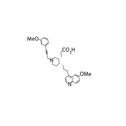 COc1cccc(C#CCN2CC[C@@H](CCCc3ccnc4ccc(OC)cc34)[C@@H](CCC(=O)O)C2)c1